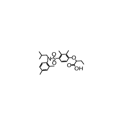 CCC(Oc1ccc(S(=O)(=O)N(CC(C)C)c2ccc(C)cc2C)c(C)c1C)C(=O)O